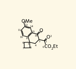 CCOC(=O)C(=O)C1CC2(CCC2)c2ccc(OC)cc2C1=O